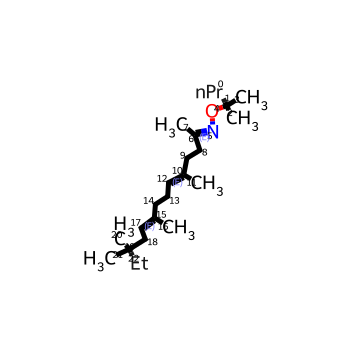 CCCC(C)(C)O/N=C(\C)CC/C(C)=C/CC/C(C)=C/CC(C)(C)CC